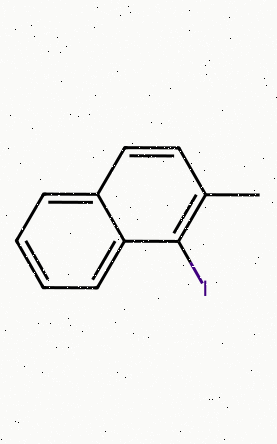 Cc1ccc2ccccc2c1I